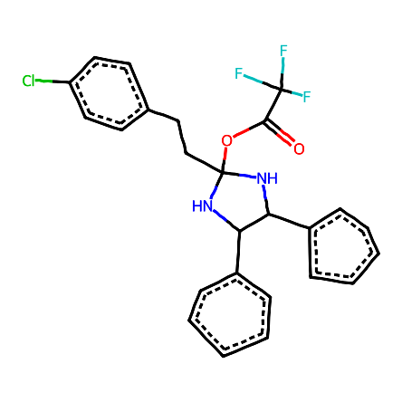 O=C(OC1(CCc2ccc(Cl)cc2)NC(c2ccccc2)C(c2ccccc2)N1)C(F)(F)F